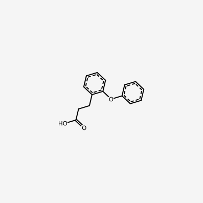 O=C(O)CCc1ccccc1Oc1ccccc1